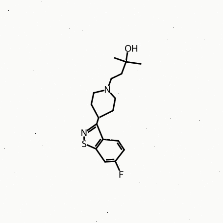 CC(C)(O)CCN1CCC(c2nsc3cc(F)ccc23)CC1